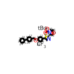 CC(C)(C)OC(=O)N1[C@H](c2ncc(-c3ccc(OCc4ccc(-c5ccccc5)cc4)c(C(F)(F)F)c3)s2)COC1(C)C